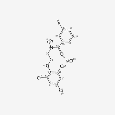 CCCN(CCOc1c(Cl)cc(Cl)cc1Cl)C(=O)c1cncc(F)c1.Cl